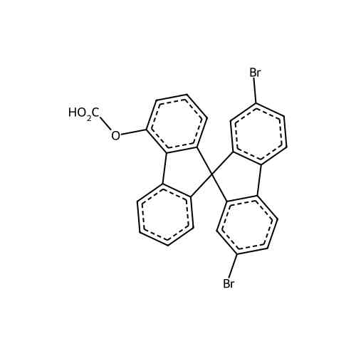 O=C(O)Oc1cccc2c1-c1ccccc1C21c2cc(Br)ccc2-c2ccc(Br)cc21